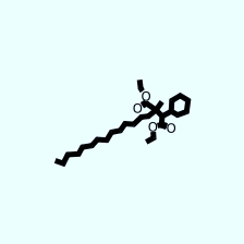 CCCCCCCCCCCCCCC(C)(C(=O)OCC)C(C(=O)OCC)C1CCCCC1